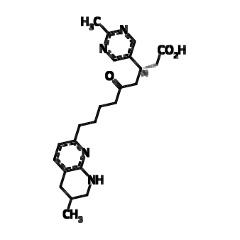 Cc1ncc([C@H](CC(=O)O)CC(=O)CCCCc2ccc3c(n2)NCC(C)C3)cn1